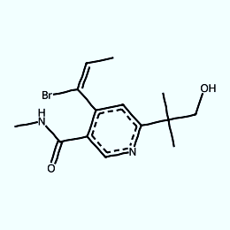 C/C=C(/Br)c1cc(C(C)(C)CO)ncc1C(=O)NC